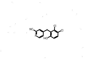 N#Cc1cc([CH]c2c(O)ccc(Cl)c2Cl)ccn1